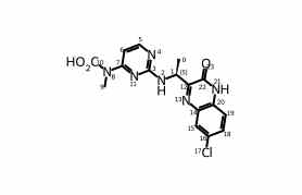 C[C@H](Nc1nccc(N(C)C(=O)O)n1)c1nc2cc(Cl)ccc2[nH]c1=O